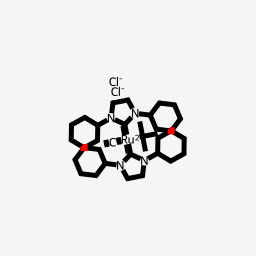 C=[C]=[Ru+2](=[C]1N(C2CCCCC2)CCN1C1CCCCC1)(=[C]1N(C2CCCCC2)CCN1C1CCCCC1)[C](C)(C)C.[Cl-].[Cl-]